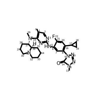 Cc1cnc(Nc2cc(-n3nnn(C)c3=O)c(C3CC3)cc2F)nc1N(C)[C@H]1CCCN2CCCC[C@H]12